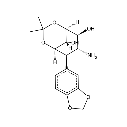 CC1(C)O[C@H]2[C@@H](O)[C@H](N)[C@@H](c3ccc4c(c3)OCO4)[C@@H](O1)[C@H]2O